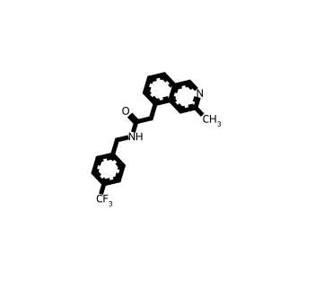 Cc1cc2c(CC(=O)NCc3ccc(C(F)(F)F)cc3)cccc2cn1